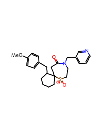 COc1ccc(CC2CCCCC23CC(=O)N(Cc2cccnc2)CCS3(=O)=O)cc1